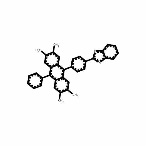 Cc1cc2c(-c3ccccc3)c3cc(C)c(C)cc3c(-c3ccc(-c4nc5ccccc5o4)cc3)c2cc1C